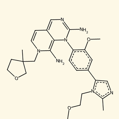 COCCn1c(-c2ccc(N3C(N)=NC=C4C=CN(CC5(C)CCOC5)C(N)=C43)c(OC)c2)cnc1C